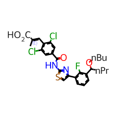 CCCCOC(CCC)c1cccc(-c2csc(NC(=O)c3cc(Cl)c(/C=C(\C)C(=O)O)c(Cl)c3)n2)c1F